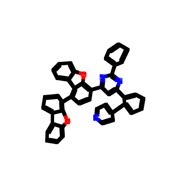 c1ccc(-c2nc(-c3ccccc3-c3ccncc3)cc(-c3ccc(-c4cccc5c4oc4ccccc45)c4c3oc3ccccc34)n2)cc1